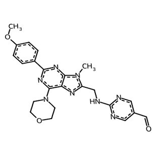 COc1ccc(-c2nc(N3CCOCC3)c3nc(CNc4ncc(C=O)cn4)n(C)c3n2)cc1